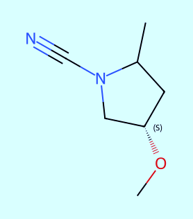 CO[C@H]1CC(C)N(C#N)C1